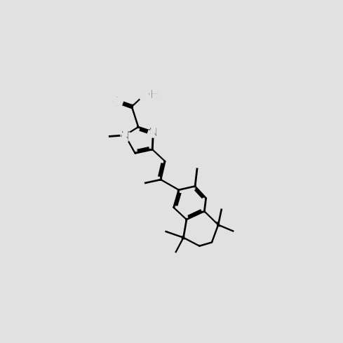 CC(=Cc1cn(C)c(C(=O)O)n1)c1cc2c(cc1C)C(C)(C)CCC2(C)C